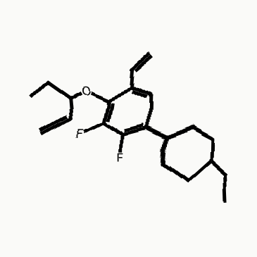 C=Cc1cc(C2CCC(CC)CC2)c(F)c(F)c1OC(C=C)CC